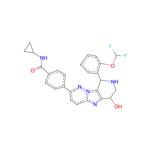 O=C(NC1CC1)c1ccc(-c2ccc3nc4c(n3n2)C(c2ccccc2OC(F)F)NCC4O)cc1